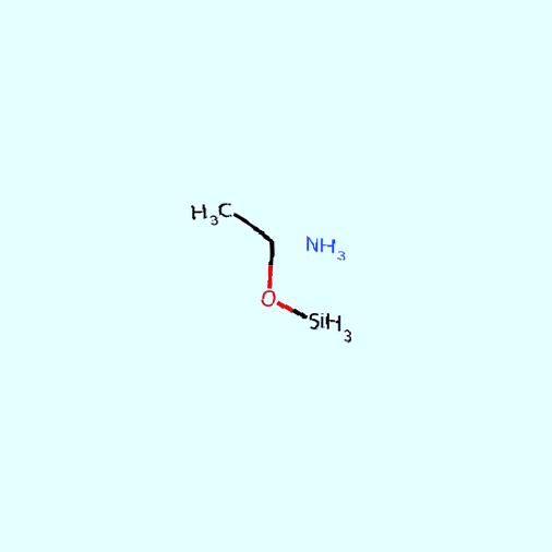 CCO[SiH3].N